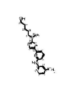 Cc1ccnc(Nc2cccc(-c3cnc(N(CCCCCO)C(C)C)s3)n2)c1